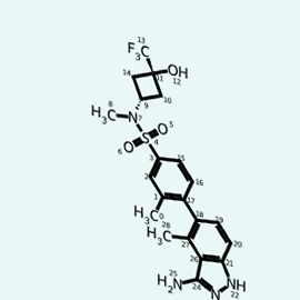 Cc1cc(S(=O)(=O)N(C)[C@H]2C[C@](O)(C(F)(F)F)C2)ccc1-c1ccc2[nH]nc(N)c2c1C